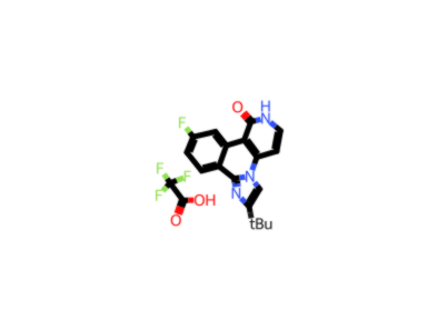 CC(C)(C)c1cn2c3cc[nH]c(=O)c3c3cc(F)ccc3c2n1.O=C(O)C(F)(F)F